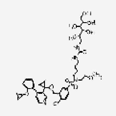 COCCN(CCCCNC(=O)NCC(O)C(O)C(O)C(O)CO)S(=O)(=O)c1ccc(Cl)c(COC2(c3cnccc3-c3ccccc3OC3CC3)CC2)c1